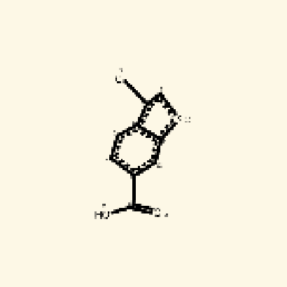 O=C(O)c1ccc2c(Cl)csc2c1